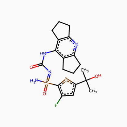 CC(C)(O)c1cc(F)c(S(N)(=O)=NC(=O)Nc2c3c(nc4c2CCC4)CCC3)s1